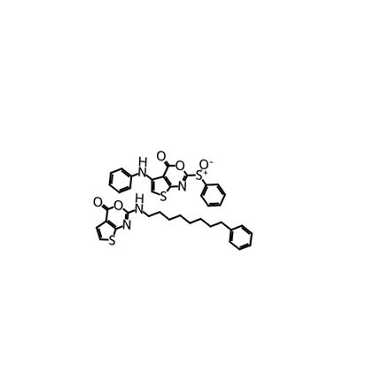 O=c1oc(NCCCCCCCCc2ccccc2)nc2sccc12.O=c1oc([S+]([O-])c2ccccc2)nc2scc(Nc3ccccc3)c12